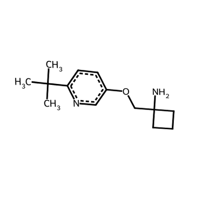 CC(C)(C)c1ccc(OCC2(N)CCC2)cn1